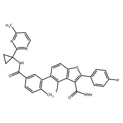 CNC(=O)c1c(-c2ccc(F)cc2)oc2ccc(-c3cc(C(=O)NC4(c5nccc(C)n5)CC4)ccc3C)c(F)c12